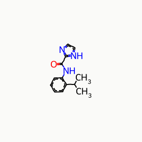 CC(C)c1ccccc1NC(=O)c1ncc[nH]1